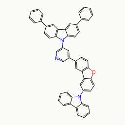 c1ccc(-c2ccc3c(c2)c2cc(-c4ccccc4)ccc2n3-c2cncc(-c3ccc4oc5ccc(-n6c7ccccc7c7ccccc76)cc5c4c3)c2)cc1